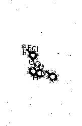 O=C(Oc1ccc(Cl)c(C(F)(F)F)c1)[C@H]1CC=C[C@H]2CCN(CC3CCCCC3)C(=O)[C@@H]12